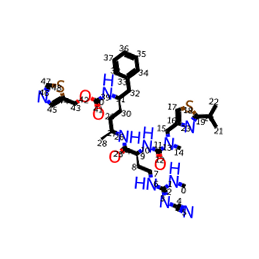 CN/C(=N\C#N)NCC[C@H](NC(=O)N(C)Cc1csc(C(C)C)n1)C(=O)N[C@@H](C)CC[C@H](Cc1ccccc1)NC(=O)OCc1cncs1